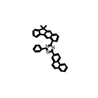 CC1(C)c2ccccc2-c2cc3c(-c4nc(-c5ccccc5)nc(-c5ccc6c(ccc7ccccc76)c5)n4)cccc3cc21